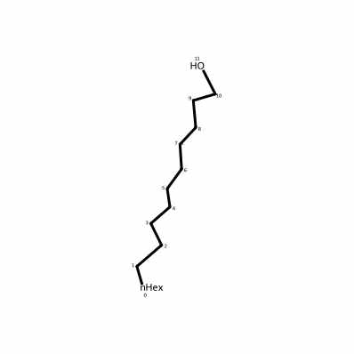 CCCCCCCCCCCC[CH]CCCO